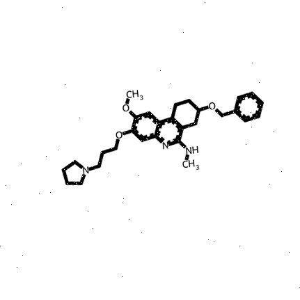 CNc1nc2cc(OCCCN3CCCC3)c(OC)cc2c2c1CC(OCc1ccccc1)CC2